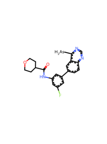 O=C(Nc1cc(F)cc(-c2ccc3ncnc([AsH2])c3c2)c1)C1CCOCC1